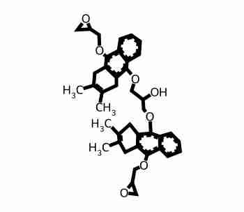 CC1=C(C)Cc2c(c(OCC(O)COc3c4c(c(OCC5CO5)c5ccccc35)CC(C)=C(C)C4)c3ccccc3c2OCC2CO2)C1